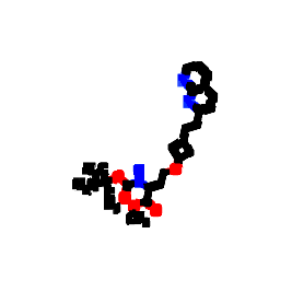 COC(=O)C(=CCOC1CC(CCc2ccc3cccnc3n2)C1)NC(=O)OC(C)(C)C